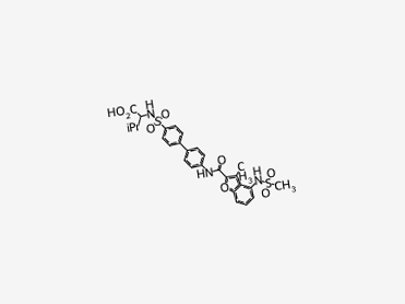 Cc1c(C(=O)Nc2ccc(-c3ccc(S(=O)(=O)NC(C(=O)O)C(C)C)cc3)cc2)oc2cccc(NS(C)(=O)=O)c12